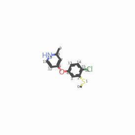 CSc1cc(OC2=CC(C)NC=[C]2)ccc1Cl